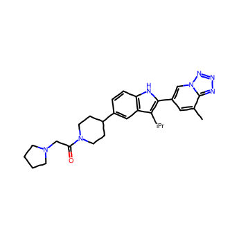 Cc1cc(-c2[nH]c3ccc(C4CCN(C(=O)CN5CCCC5)CC4)cc3c2C(C)C)cn2nnnc12